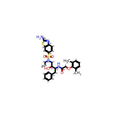 Cc1cccc(C)c1OCC(=O)NC(Cc1ccccc1)C(O)CN(CC(C)C)S(=O)(=O)c1ccc2nc(N)sc2c1